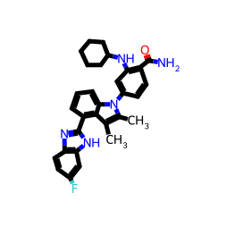 Cc1c(C)n(-c2ccc(C(N)=O)c(NC3CCCCC3)c2)c2cccc(-c3nc4ccc(F)cc4[nH]3)c12